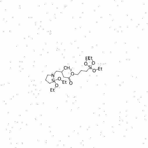 CCO[Si](CCCOC(=O)CC(C)CN1CCC[Si]1(OCC)OCC)(OCC)OCC